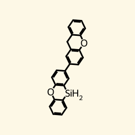 c1ccc2c(c1)Cc1cc(-c3ccc4c(c3)[SiH2]c3ccccc3O4)ccc1O2